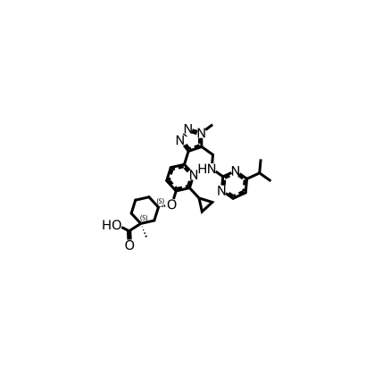 CC(C)c1ccnc(NCc2c(-c3ccc(O[C@H]4CCC[C@](C)(C(=O)O)C4)c(C4CC4)n3)nnn2C)n1